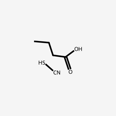 CCCC(=O)O.N#CS